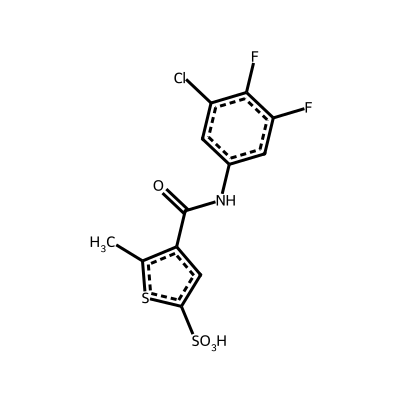 Cc1sc(S(=O)(=O)O)cc1C(=O)Nc1cc(F)c(F)c(Cl)c1